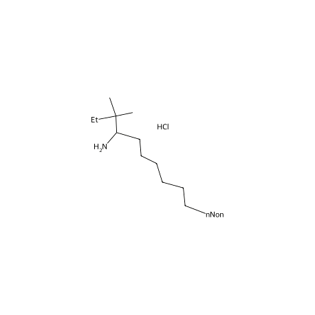 CCCCCCCCCCCCCCCC(N)C(C)(C)CC.Cl